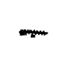 CCCCCCCCCCCCCCCc1ncc[nH]1.[Zn]